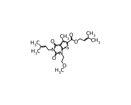 COCCn1c(=O)n(CC=C(C)C)c(=O)c2c(C)c(C(=O)OCC=C(C)C)sc21